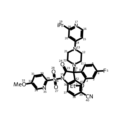 CCOc1cc(F)ccc1C1(N2CCN(c3ccnc(C(C)C)c3)CC2)C(=O)N(S(=O)(=O)c2ccc(OC)cn2)c2ccc(C#N)cc21